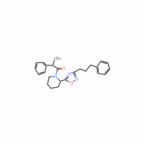 CCCCC(C(=O)N1CCCCC1c1nc(CCCc2ccccc2)no1)c1ccccc1